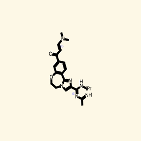 CC(=N)/N=C(\NC(C)C)c1cn2c(n1)-c1ccc(C(=O)/C=C/N(C)C)cc1OCC2